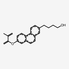 C=C(C)C(=C)Oc1ccc2c(ccc3cc(CCCCO)ccc32)c1